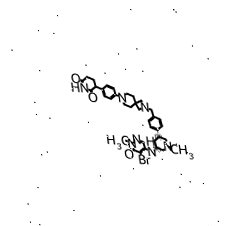 CN1C[C@H](Nc2cnn(C)c(=O)c2Br)C[C@H](c2ccc(CN3CC4(CCN(c5ccc(C6CCC(=O)NC6=O)cc5)CC4)C3)cc2)C1